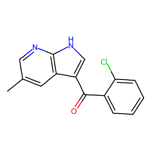 Cc1cnc2[nH]cc(C(=O)c3ccccc3Cl)c2c1